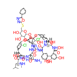 CN[C@@H](CC(C)C)C(=O)N[C@H]1C(=O)N[C@@H](CC(N)=O)C(=O)NC2C(=O)NC3C(=O)N[C@H](C(=O)N[C@@H](C(=O)O)c4cc(O)cc(O)c4-c4cc3ccc4O)[C@H](O)c3ccc(c(Cl)c3)Oc3cc2cc(c3OC2OC(CSc3nnc(-c4ccccc4)o3)C(O)C(O)C2OC2CC(C)(N)C(O)C(C)O2)Oc2ccc(cc2Cl)[C@H]1O